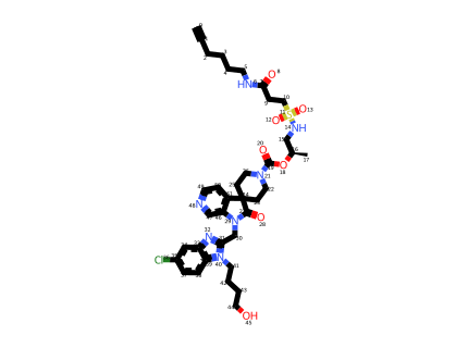 C#CCCCCNC(=O)CCS(=O)(=O)NC[C@@H](C)OC(=O)N1CCC2(CC1)C(=O)N(Cc1nc3cc(Cl)ccc3n1CCCCO)c1cnccc12